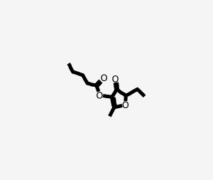 CCCCC(=O)OC1=C(C)OC(CC)C1=O